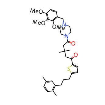 COc1ccc(CN2CCN(C(=O)CC(C)(C)CC(=O)c3ccc(CCCc4cc(C)ccc4C)s3)CC2)c(OC)c1OC